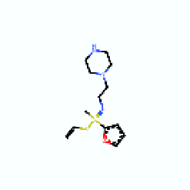 C=CS[SH](C)(=NCCN1CCNCC1)c1ccco1